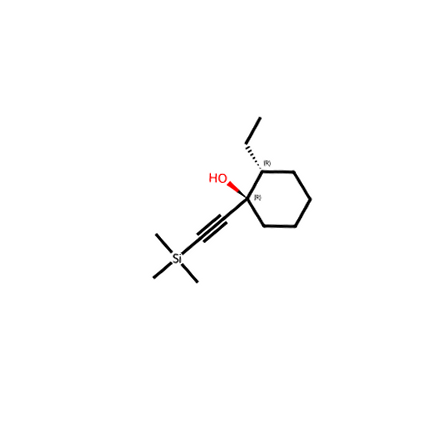 CC[C@@H]1CCCC[C@]1(O)C#C[Si](C)(C)C